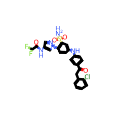 NS(=O)(=O)c1cc(Nc2ccc(C(=O)Cc3ccccc3Cl)cc2)ccc1-n1cc(NC(=O)C(F)F)cn1